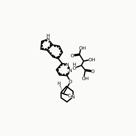 O=C(O)C(O)C(O)C(=O)O.c1cc2cc(-c3ccc(O[C@H]4CN5CCC4CC5)nn3)ccc2[nH]1